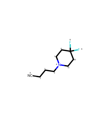 N#CCCCN1CCC(F)(F)CC1